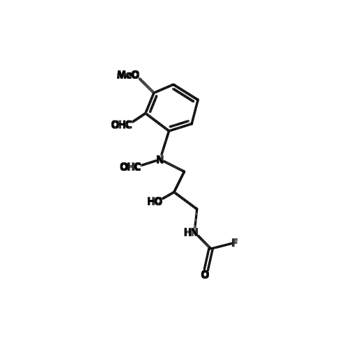 COc1cccc(N(C=O)CC(O)CNC(=O)F)c1C=O